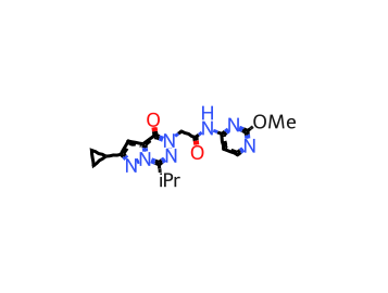 COc1nccc(NC(=O)Cn2nc(C(C)C)n3nc(C4CC4)cc3c2=O)n1